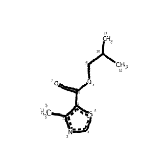 Cc1ncsc1C(=O)OCC(C)C